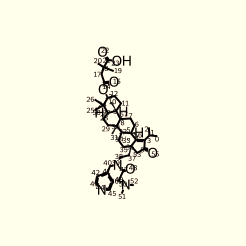 CC(C)C1=C2[C@H]3CC[C@@H]4[C@@]5(C)CC[C@H](OC(=O)CC(C)(C)C(=O)O)C(C)(C)[C@@H]5CC[C@@]4(C)[C@]3(C)CC[C@@]2(CCN(Cc2ccncc2)C(=O)CN(C)C)CC1=O